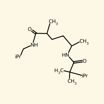 CC(C)CNC(=O)C(C)CCC(C)NC(=O)C(C)(C)C(C)C